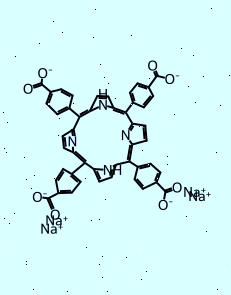 O=C([O-])c1ccc(-c2c3nc(c(-c4ccc(C(=O)[O-])cc4)c4ccc([nH]4)c(-c4ccc(C(=O)[O-])cc4)c4nc(c(-c5ccc(C(=O)[O-])cc5)c5ccc2[nH]5)C=C4)C=C3)cc1.[Na+].[Na+].[Na+].[Na+]